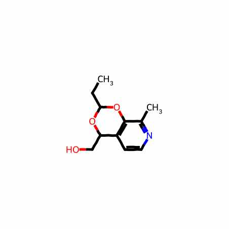 CCC1Oc2c(ccnc2C)C(CO)O1